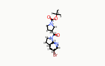 CC(C)(C)OC(=O)N1CC[C@H](C(=O)N2CCc3cc(Br)cnc32)C1